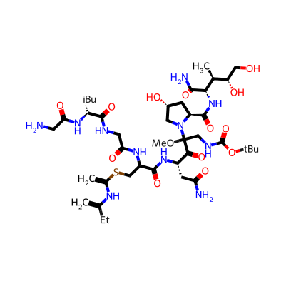 C=C(CC)NC(=C)SCC(NC(=O)CNC(=O)[C@@H](NC(=O)CN)[C@@H](C)CC)C(=O)N[C@@H](CC(N)=O)C(=O)C(CNC(=O)OC(C)(C)C)(OC)N1C[C@H](O)C[C@H]1C(=O)N[C@H](C(N)=O)[C@@H](C)[C@@H](O)CO